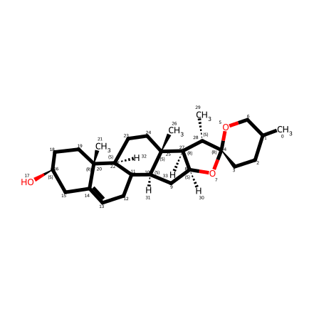 CC1CC[C@@]2(OC1)O[C@H]1C[C@H]3C4CC=C5C[C@@H](O)CC[C@]5(C)[C@H]4CC[C@]3(C)[C@H]1[C@@H]2C